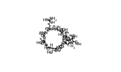 CC[C@H](C)[C@@H]1NC(=O)[C@@H](CCCNC(=N)N)NC(=O)[C@H](C(C)C)NC(=O)[C@H]([C@H](O)C(C)C)NC(=O)[C@@H](NC(=O)[C@H](CC(C)(C)C)NC(=O)[C@H](N)CC(C)(C)C)[C@@H](c2ccccc2)NC(=O)C(CO)NC(=O)[C@H](CO)NC(=O)CNC(=O)[C@H]([C@H](C)O)NC1=O